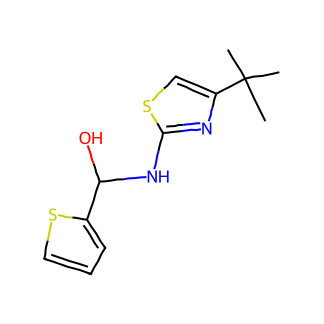 CC(C)(C)c1csc(NC(O)c2cccs2)n1